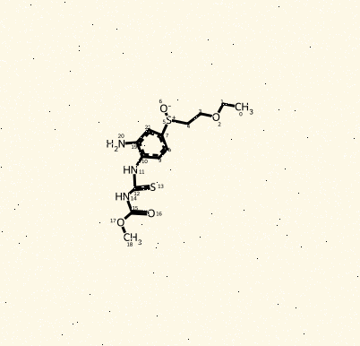 CCOCC[S+]([O-])c1ccc(NC(=S)NC(=O)OC)c(N)c1